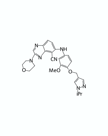 COc1cc(Nc2ccc3ncc(N4CCOCC4)nc3c2C#N)ccc1OCc1cnn(C(C)C)c1